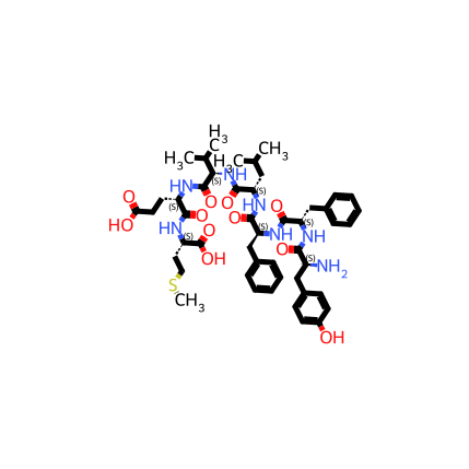 CSCC[C@H](NC(=O)[C@H](CCC(=O)O)NC(=O)[C@@H](NC(=O)[C@H](CC(C)C)NC(=O)[C@H](Cc1ccccc1)NC(=O)[C@H](Cc1ccccc1)NC(=O)[C@@H](N)Cc1ccc(O)cc1)C(C)C)C(=O)O